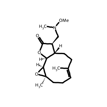 CON(C)C[C@@H]1C(=O)O[C@H]2[C@H]1CC/C(C)=C/CC[C@@]1(C)O[C@@H]21